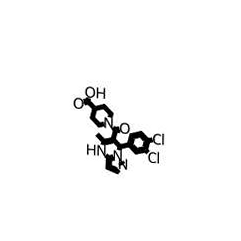 CC1=C(C(=O)N2CCC(C(=O)O)CC2)C(c2ccc(Cl)c(Cl)c2)n2nccc2N1